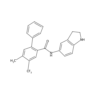 Cc1cc(-c2ccccc2)c(C(=O)Nc2ccc3c(c2)CCN3)cc1C(F)(F)F